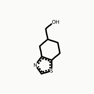 OCC1CCc2scnc2C1